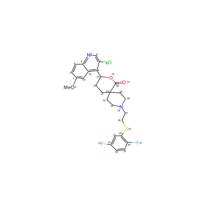 COc1ccc2ncc(Cl)c(C3CCC4(CCN(CCSc5cc(F)ccc5F)CC4)C(=O)O3)c2c1